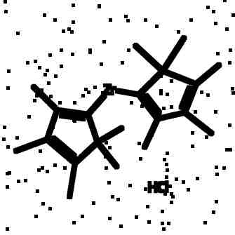 CC1=C(C)C(C)(C)[C]([Zr][C]2=C(C)C(C)=C(C)C2(C)C)=C1C.Cl